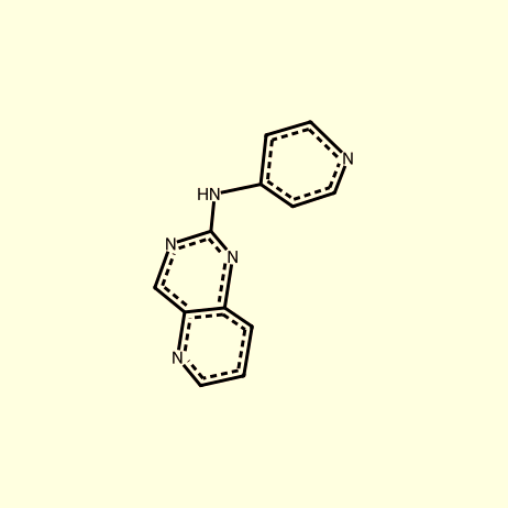 c1cnc2cnc(Nc3ccncc3)nc2c1